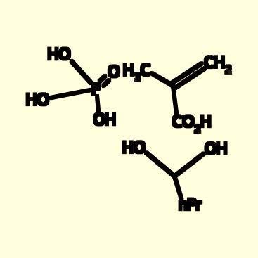 C=C(C)C(=O)O.CCCC(O)O.O=P(O)(O)O